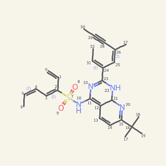 C=C/C(=C\C=C/C)S(=O)(=O)NC1=C2C=CC(C(C)(C)C)=NC2NC(C(/C=C(/C)C#CC)=C/C)=N1